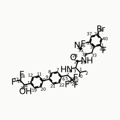 CC(C)C(N[C@@H](c1ccc(-c2ccc([C@@H](O)C(F)F)cc2)cc1)C(F)(F)F)C(=O)N[C@H](C#N)Cc1c(F)cc(Br)cc1F